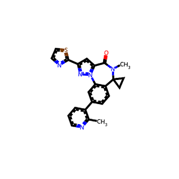 Cc1ncccc1-c1ccc2c(c1)-n1nc(-c3nccs3)cc1C(=O)N(C)C21CC1